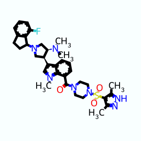 Cc1n[nH]c(C)c1S(=O)(=O)N1CCN(C(=O)c2cccc3c([C@H]4CN(C5CCc6cccc(F)c65)C[C@@H]4N(C)C)cn(C)c23)CC1